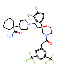 NC(=O)C1(C2CCN(CCC3(c4ccc(Cl)c(Cl)c4)CN(C(=O)Cc4cc(C(F)(F)F)cc(C(F)(F)F)c4)CCO3)CC2)CCCCC1